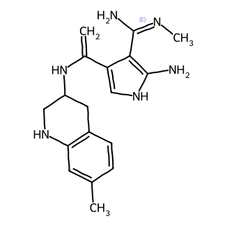 C=C(NC1CNc2cc(C)ccc2C1)c1c[nH]c(N)c1/C(N)=N\C